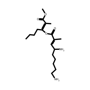 CCCCC(OC(=O)C(C)=CC(N)CCCCCN)=C(C)C(=O)OC